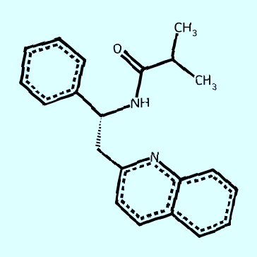 CC(C)C(=O)N[C@H](Cc1ccc2ccccc2n1)c1ccccc1